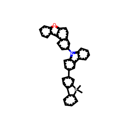 C[Si]1(C)c2ccccc2-c2ccc(-c3ccc4c(c3)c3ccccc3n4-c3ccc4c(ccc5oc6ccccc6c54)c3)cc21